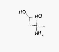 C[C@]1(N)C[C@H](O)C1.Cl